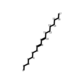 CCCCCCCC=CC=CCCCCCCC